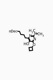 CCCCCCCCCCCCCCc1nc(N(C)C)nc(OC2CCC2)c1O